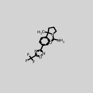 CC1(c2ccc(-c3noc(C(F)(F)F)n3)cc2)CCCN1C(N)=O